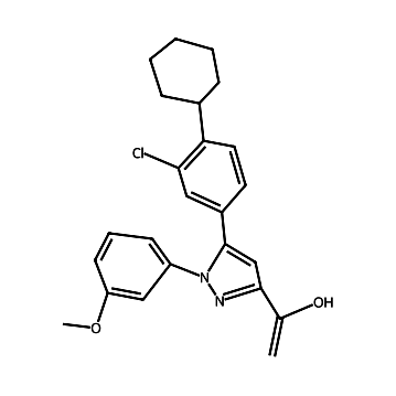 C=C(O)c1cc(-c2ccc(C3CCCCC3)c(Cl)c2)n(-c2cccc(OC)c2)n1